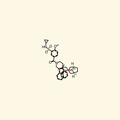 COc1ccc(C(=O)N2CCC(CCN3[C@@H]4CC[C@H]3CC(n3c(C)nc5ccccc53)C4)(c3ccccc3)CC2)cc1S(=O)(=O)NC1CC1